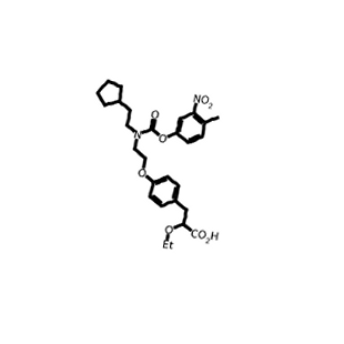 CCOC(Cc1ccc(OCCN(CCC2CCCC2)C(=O)Oc2ccc(C)c([N+](=O)[O-])c2)cc1)C(=O)O